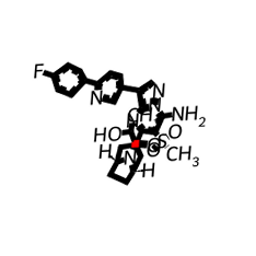 CC(O)C(=O)N1[C@@H]2CC[C@H]1CC(c1nc3c(-c4ccc(-c5ccc(F)cc5)nc4)cnn3c(N)c1S(C)(=O)=O)C2